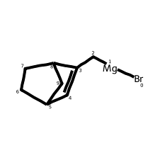 [Br][Mg][CH2]C1=CC2CCC1C2